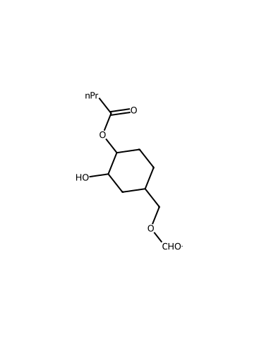 CCCC(=O)OC1CCC(CO[C]=O)CC1O